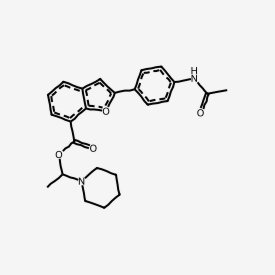 CC(=O)Nc1ccc(-c2cc3cccc(C(=O)OC(C)N4CCCCC4)c3o2)cc1